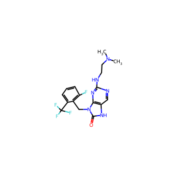 CN(C)CCNc1ncc2[nH]c(=O)n(Cc3c(F)cccc3C(F)(F)F)c2n1